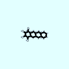 O=c1c(=O)c(=O)c2cc3cc4ccccc4cc3cc2c1=O